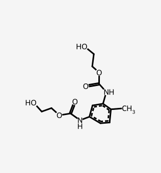 Cc1ccc(NC(=O)OCCO)cc1NC(=O)OCCO